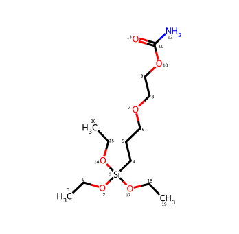 CCO[Si](CCCOCCOC(N)=O)(OCC)OCC